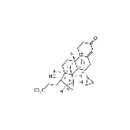 CC[C@]12CC[C@H]3[C@H]([C@@H]1[C@H]1C[C@H]1[C@@]2(O)CCC(=O)O)[C@@H](C1CC1)CC1=CC(=O)CC[C@@H]13